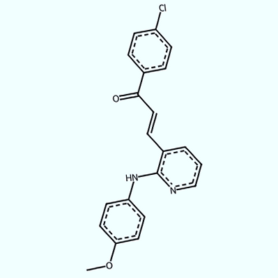 COc1ccc(Nc2ncccc2C=CC(=O)c2ccc(Cl)cc2)cc1